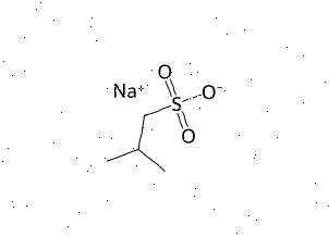 CC(C)CS(=O)(=O)[O-].[Na+]